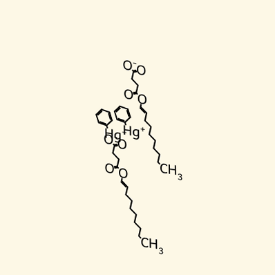 CCCCCCCCC=COC(=O)CCC(=O)[O-].CCCCCCCCC=COC(=O)CCC(=O)[O-].[Hg+][c]1ccccc1.[Hg+][c]1ccccc1